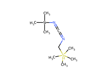 C[Si](C)(C)N=C=NC[SH](C)(C)(C)C